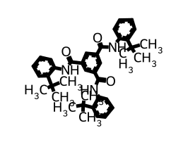 CC(C)(C)c1ccccc1NC(=O)c1cc(C(=O)Nc2ccccc2C(C)(C)C)cc(C(=O)Nc2ccccc2C(C)(C)C)c1